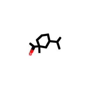 CC(=O)C1(C)CCCC(C(C)C)C1